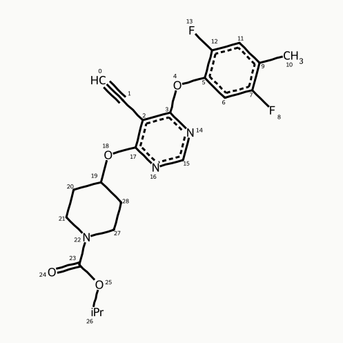 C#Cc1c(Oc2cc(F)c(C)cc2F)ncnc1OC1CCN(C(=O)OC(C)C)CC1